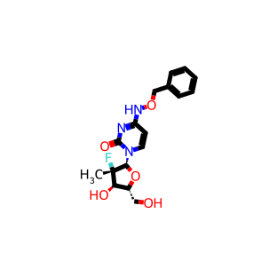 C[C@]1(F)[C@H](O)[C@@H](CO)O[C@H]1n1ccc(NOCc2ccccc2)nc1=O